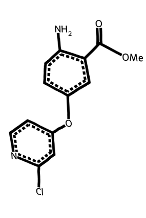 COC(=O)c1cc(Oc2ccnc(Cl)c2)ccc1N